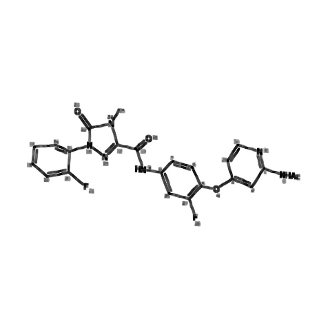 CC(=O)Nc1cc(Oc2ccc(NC(=O)c3nn(-c4ccccc4F)c(=O)n3C)cc2F)ccn1